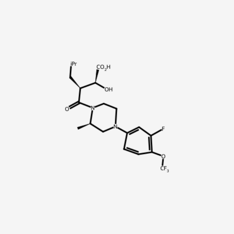 CC(C)C[C@H](C(=O)N1CCN(c2ccc(OC(F)(F)F)c(F)c2)C[C@H]1C)[C@H](O)C(=O)O